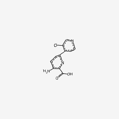 Nc1ccc(-c2ccncc2Cl)nc1C(=O)O